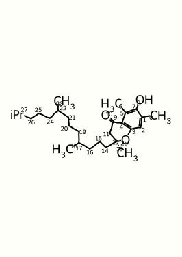 Cc1cc2c(c(C)c1O)C(=O)C[C@](C)(CCCC(C)CCCC(C)CCCC(C)C)O2